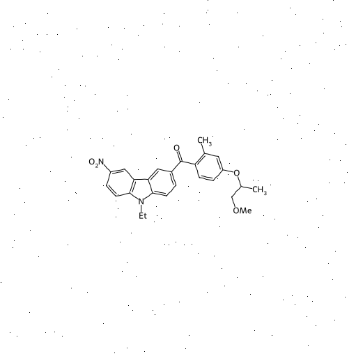 CCn1c2ccc(C(=O)c3ccc(OC(C)COC)cc3C)cc2c2cc([N+](=O)[O-])ccc21